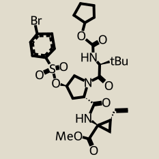 C=C[C@@H]1C[C@]1(NC(=O)[C@@H]1C[C@@H](OS(=O)(=O)c2ccc(Br)cc2)CN1C(=O)[C@@H](NC(=O)OC1CCCC1)C(C)(C)C)C(=O)OC